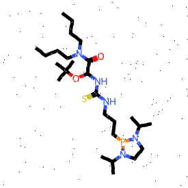 CCCCN(CCCC)C(=O)C(NC(=S)NCCCP1N(C(C)C)CCN1C(C)C)OC(C)(C)C